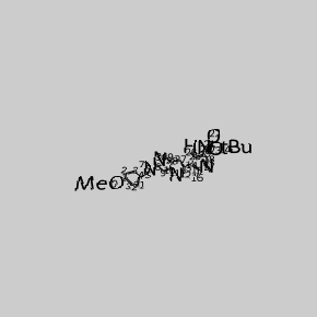 COc1ccc(CN(C)c2cc3ncc(-c4c(C)ncc(NC(=O)OC(C)(C)C)c4C)cc3cn2)cc1